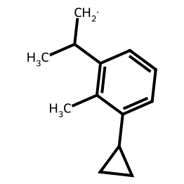 [CH2]C(C)c1cccc(C2CC2)c1C